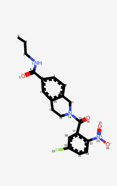 CCCNC(=O)c1ccc2c(c1)CCN(C(=O)c1cc(F)ccc1[N+](=O)[O-])C2